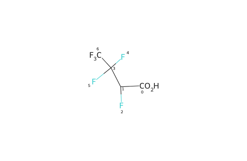 O=C(O)C(F)C(F)(F)C(F)(F)F